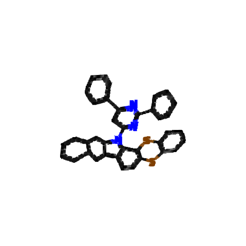 c1ccc(-c2cc(-n3c4cc5ccccc5cc4c4ccc5c(c43)Sc3ccccc3S5)nc(-c3ccccc3)n2)cc1